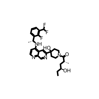 CC[C@H](O)C[C@@H](C)C(=O)N1CCC(O)(c2cc3c(N[C@H](C)c4cccc(C(F)F)c4F)ccnc3cn2)CC1